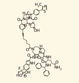 Cc1ncsc1-c1ccc([C@H](C)NC(=O)[C@@H]2C[C@@H](O)CN2C(=O)C2CCCCN2C(=O)c2ccc(C#CCCCCC(=O)N3CC[C@H]4CC[C@@H](C(=O)NC(CCC(N)=O)C(=O)NC(c5ccccc5)c5ccccc5)N4C(=O)[C@@H](NC(=O)c4cc5cc(C(F)(F)P(=O)(O)O)ccc5[nH]4)C3)cc2)cc1